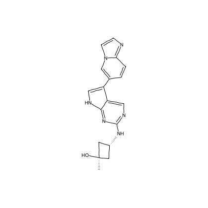 C[C@]1(O)C[C@H](Nc2ncc3c(-c4ccc5nccn5c4)c[nH]c3n2)C1